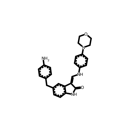 Nc1ccc(Cc2ccc3c(c2)C(=CNc2ccc(N4CCOCC4)cc2)C(=O)N3)cc1